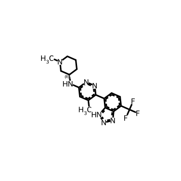 Cc1cc(N[C@@H]2CCCN(C)C2)nnc1-c1ccc(C(F)(F)F)c2nn[nH]c12